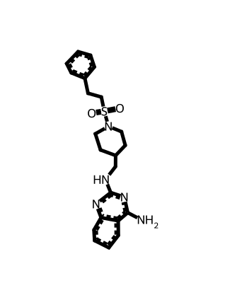 Nc1nc(NCC2CCN(S(=O)(=O)CCc3ccccc3)CC2)nc2ccccc12